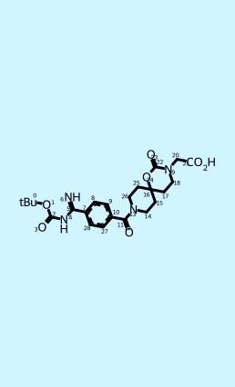 CC(C)(C)OC(=O)NC(=N)c1ccc(C(=O)N2CCC3(CCN(CC(=O)O)C(=O)O3)CC2)cc1